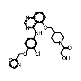 O=C(CO)N1CCC(COc2cccc3ncnc(Nc4ccc(OCc5nccs5)c(Cl)c4)c23)CC1